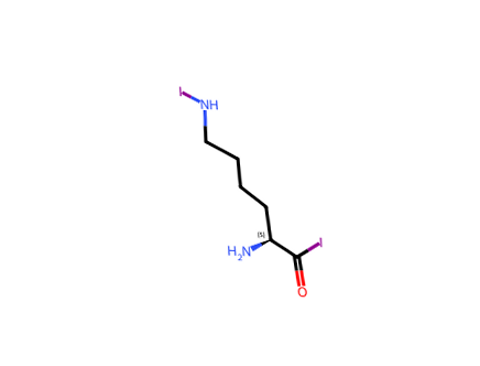 N[C@@H](CCCCNI)C(=O)I